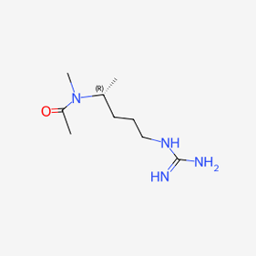 CC(=O)N(C)[C@H](C)CCCNC(=N)N